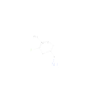 CCC(C)c1ccc(CN)cc1F